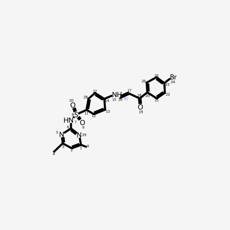 Cc1cc(C)nc(NS(=O)(=O)c2ccc(N/C=C/C(=O)c3ccc(Br)cc3)cc2)n1